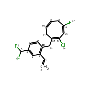 C=Cc1cc(C(F)F)ccc1C/C1=C(Cl)/C=C(/F)CC=CC1